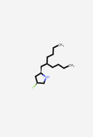 CCCCC(CCCC)C[C@@H]1C[C@H](F)CN1